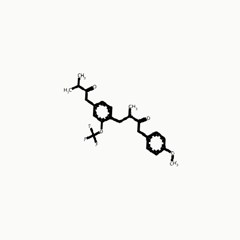 COc1ccc(CC(=O)C(C)Cc2ccc(CC(=O)C(C)C)cc2OC(F)(F)F)cc1